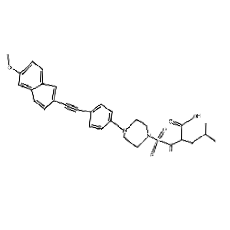 COc1ccc2cc(C#Cc3ccc(N4CCN(S(=O)(=O)NC(CC(C)C)C(=O)O)CC4)cc3)ccc2c1